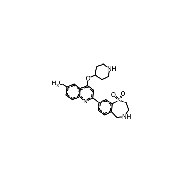 Cc1ccc2nc(-c3ccc4c(c3)S(=O)(=O)CCNC4)cc(OC3CCNCC3)c2c1